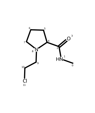 CNC(=O)C1CCCN1CCCl